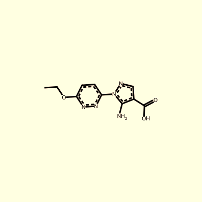 CCOc1ccc(-n2ncc(C(=O)O)c2N)nn1